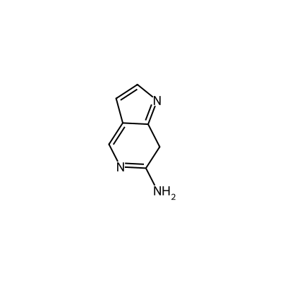 NC1=NC=C2C=CN=C2C1